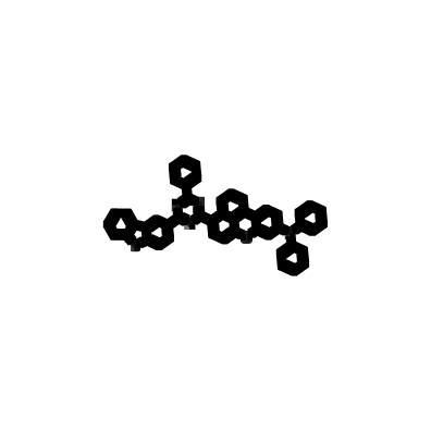 c1ccc(-c2nc(-c3ccc4sc5ccccc5c4c3)nc(-c3ccc4c5c(cccc35)-c3ccc(N(c5ccccc5)c5ccccc5)cc3O4)n2)cc1